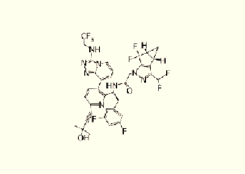 CC(C)(O)C#Cc1ccc(-c2cccn3c(NCC(F)(F)F)nnc23)c([C@H](Cc2cc(F)cc(F)c2)NC(=O)Cn2nc(C(F)F)c3c2C(F)(F)[C@@H]2C[C@H]32)n1